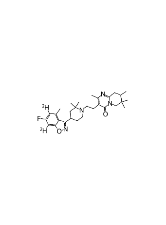 [2H]c1c(F)c([2H])c2onc(C3CCN(CCc4c(C)nc5n(c4=O)CC(C)(C)C(C)C5)C(C)(C)C3)c2c1C